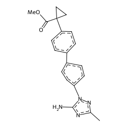 COC(=O)C1(c2ccc(-c3ccc(-n4nc(C)nc4N)cc3)cc2)CC1